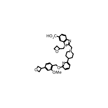 COc1cc(C2COC2)ccc1COc1cccc(C2CCN(Cc3nc4ccc(C(=O)O)cc4n3CC3CCO3)CC2)n1